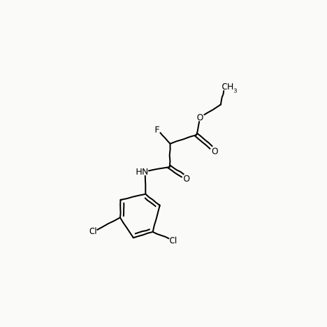 CCOC(=O)C(F)C(=O)Nc1cc(Cl)cc(Cl)c1